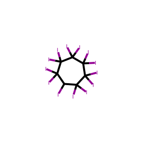 I[C]1C(I)(I)C(I)(I)C(I)(I)C(I)(I)C(I)(I)C1(I)I